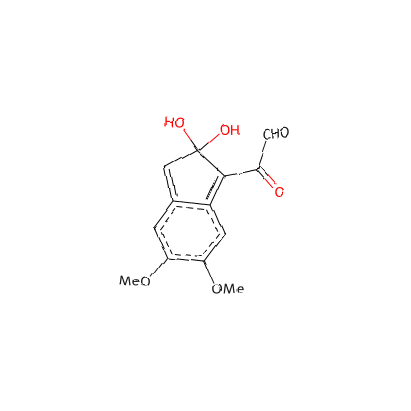 COc1cc2c(cc1OC)=C(C(=O)C=O)C(O)(O)C=2